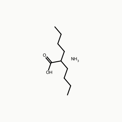 CCCCC(CCCC)C(=O)O.N